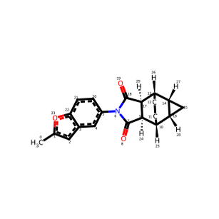 Cc1cc2cc(N3C(=O)[C@@H]4[C@@H]5CC[C@@H]([C@@H]6C[C@@H]65)[C@@H]4C3=O)ccc2o1